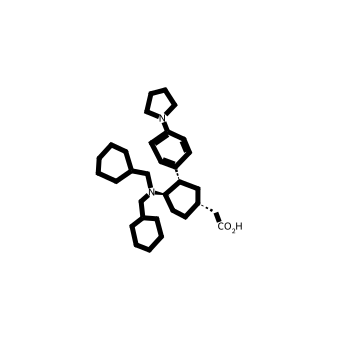 O=C(O)C[C@@H]1CC[C@@H](N(CC2CCCCC2)CC2CCCCC2)[C@H](c2ccc(N3CCCC3)cc2)C1